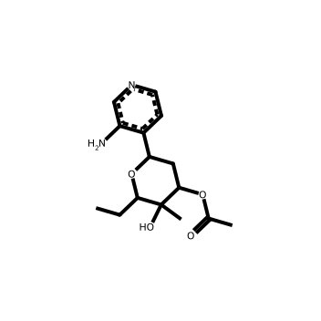 CCC1OC(c2ccncc2N)CC(OC(C)=O)C1(C)O